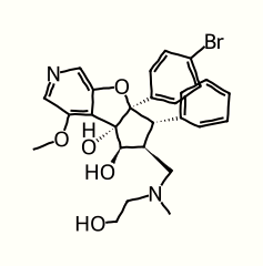 COc1cncc2c1[C@]1(O)[C@H](O)[C@H](CN(C)CCO)[C@@H](c3ccccc3)[C@]1(c1ccc(Br)cc1)O2